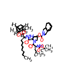 C=CCCCCCC[C@H](NC(=O)[C@@H]1C[C@@H](OC(=O)N2Cc3ccccc3C2)CN1C(=O)[C@H](CC=C)NC(=O)OC(C)(C)C)B1O[C@@H]2C[C@@H]3C[C@@H](C3(C)C)[C@]2(C)O1